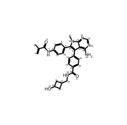 C=C(C)C(=O)Nc1ccc(-c2c(-c3ccc(C(=O)NCC4CC(O)C4)cc3)c3c(N)ncnc3n2C)cc1